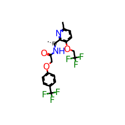 Cc1ccc(OCC(F)(F)F)c([C@@H](C)NC(=O)COc2ccc(C(F)(F)F)cc2)n1